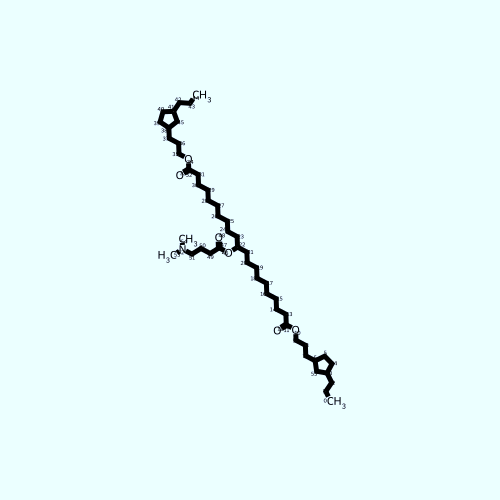 CCCC1CCC(CCCOC(=O)CCCCCCCCCC(CCCCCCCCCC(=O)OCCCC2CCC(CCC)C2)OC(=O)CCCN(C)C)C1